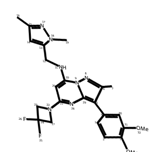 COc1ccc(-c2c(C)nn3c(NCc4cc(C)nn4C)cc(N4CC(F)(F)C4)nc23)cc1OC